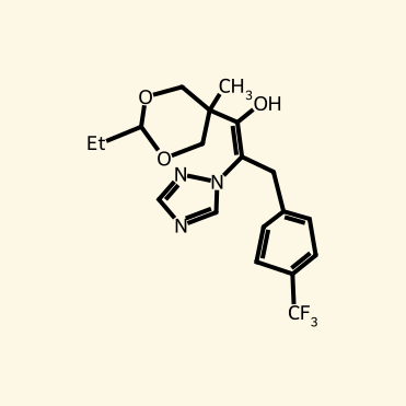 CCC1OCC(C)(C(O)=C(Cc2ccc(C(F)(F)F)cc2)n2cncn2)CO1